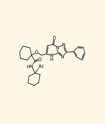 CC(=O)C1(NC(=O)C2(OCc3cc(=O)n4nc(-c5ccccc5)nc4[nH]3)CCCCC2)CCCCC1